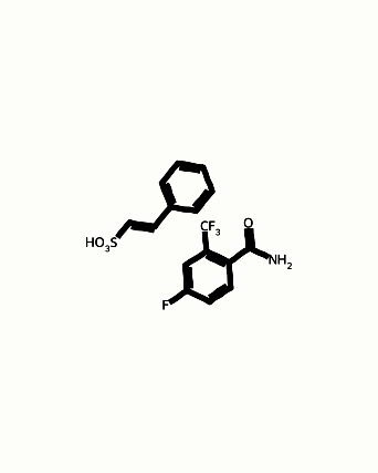 NC(=O)c1ccc(F)cc1C(F)(F)F.O=S(=O)(O)/C=C/c1ccccc1